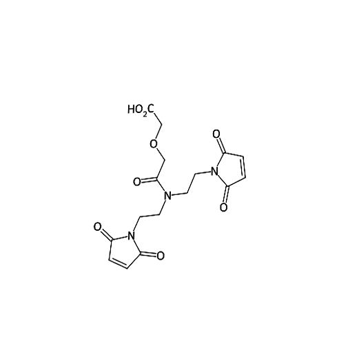 O=C(O)COCC(=O)N(CCN1C(=O)C=CC1=O)CCN1C(=O)C=CC1=O